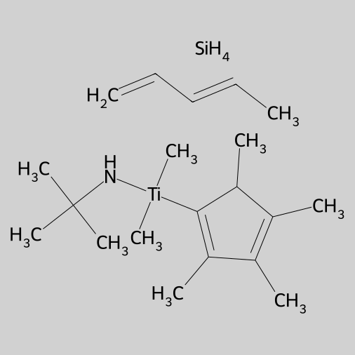 C=CC=CC.CC1=C(C)C(C)[C]([Ti]([CH3])([CH3])[NH]C(C)(C)C)=C1C.[SiH4]